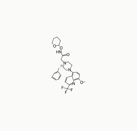 COc1ccc(N2CCN(CC(=O)NOC3CCCCO3)[C@@H](Cc3ccccc3)C2)c2ccc(C(F)(F)F)nc12